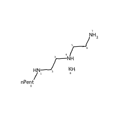 CCCCCNCCNCCN.[KH]